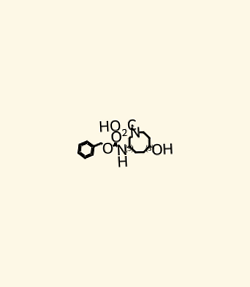 O=C(N[C@H]1CC[C@H](O)CCN(C(=O)O)C1)OCc1ccccc1